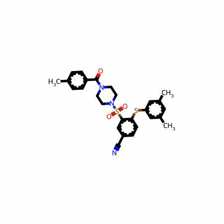 Cc1ccc(C(=O)N2CCN(S(=O)(=O)c3cc(C#N)ccc3Sc3cc(C)cc(C)c3)CC2)cc1